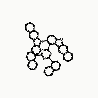 c1ccc2cc3c(cc2c1)oc1ccc(-n2c4ccccc4c4cc5ccccc5cc42)c(-c2nc(-c4cccc5ccccc45)nc(-c4cccc5ccccc45)n2)c13